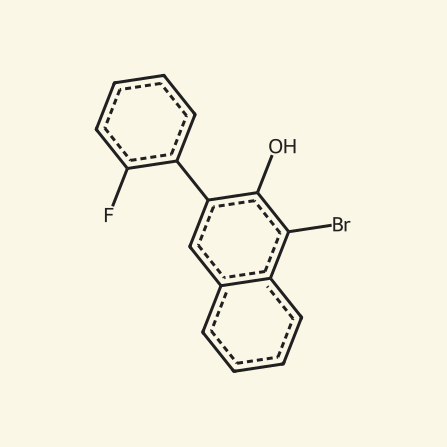 Oc1c(-c2ccccc2F)cc2ccccc2c1Br